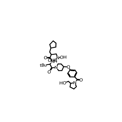 CC(C)(C)C(NC(=O)C(CC1CCCC1)CN(O)C=O)C(=O)N1CCC(Oc2ccc(C(=O)N3CCCC3CO)cc2)CC1